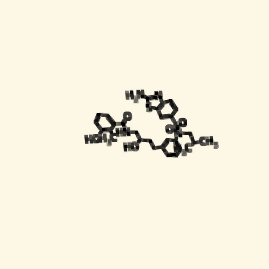 Cc1c(O)cccc1C(=O)NCC(O)CCc1cccc(N(CC(C)C)S(=O)(=O)c2ccc3nc(N)sc3c2)c1